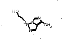 Nc1ncn2c1cnn2OCCO